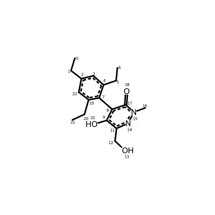 CCc1cc(CC)c(-c2c(O)c(CO)nn(C)c2=O)c(CC)c1